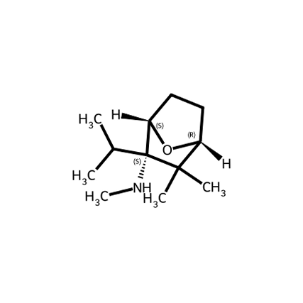 CN[C@]1(C(C)C)[C@@H]2CC[C@@H](O2)C1(C)C